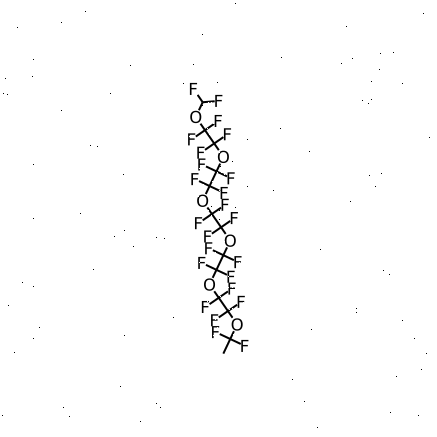 CC(F)(F)OC(F)(F)C(F)(F)OC(F)(F)C(F)(F)OC(F)(F)C(F)(F)OC(F)(F)C(F)(F)OC(F)(F)C(F)(F)OC(F)F